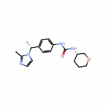 Cc1nccn1[C@H](C)c1ccc(NC(=O)N[C@H]2CCCOC2)cc1